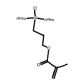 C=C(C)C(=O)OCCC[Si](Cl)(CCCCCC)CCCCCC